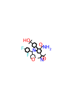 Cc1noc(C)c1-c1cc(C(N)=O)c2c3ccc(C(C)(C)O)cc3n(C(c3ccc(F)cc3F)C3CCOCC3)c2c1